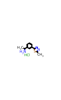 Cc1nnc(-c2cccc(C(C)N)c2)s1.Cl